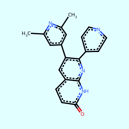 Cc1cc(-c2cc3ccc(=O)[nH]c3nc2-c2ccncc2)cc(C)n1